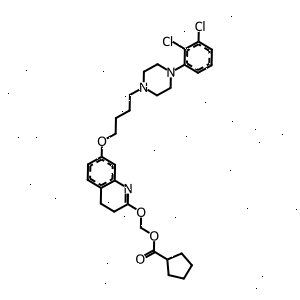 O=C(OCOC1=Nc2cc(OCCCCN3CCN(c4cccc(Cl)c4Cl)CC3)ccc2CC1)C1CCCC1